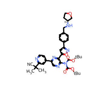 CC(C)(C)OC(=O)N(C(=O)OC(C)(C)C)c1ncc(-c2ccnc(C(C)(C)C#N)c2)nc1-c1cc(-c2ccc(CN[C@H]3CCOC3)cc2)no1